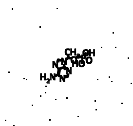 CC(OCP(=O)(O)O)n1cnc2c(N)ncnc21